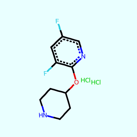 Cl.Cl.Fc1cnc(OC2CCNCC2)c(F)c1